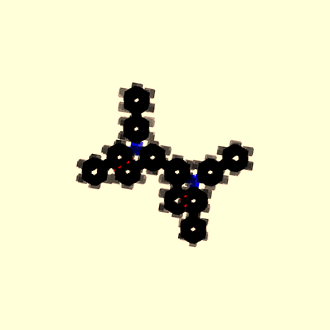 c1c(-c2ccccc2)ccc(N(c2ccc(C3=CCCC=C3)cc2)c2ccc(-c3ccc(N(c4ccc(C5=CCCC=C5)cc4)c4ccc(-c5ccccc5)cc4)c(-c4ccccc4)c3)cc2C2=CC=CCC2)c#1